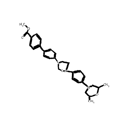 COC(=O)c1ccc(-c2ccc(N3CCN(c4ccc(N5CC(C)OC(C)C5)cc4)CC3)cc2)cc1